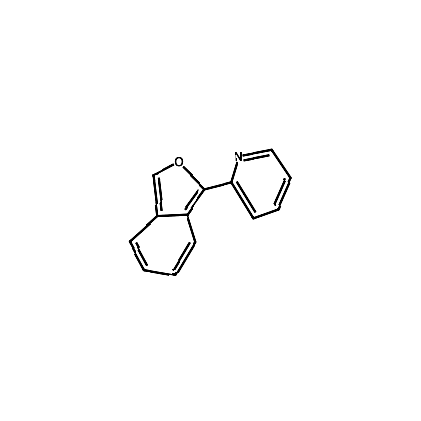 c1ccc(-c2occ3ccccc23)nc1